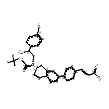 CC(C)(C)OC(=O)N(C[C@@H](O)c1ccc(Cl)cc1)[C@H]1CCc2ccc(-c3ccc(/C=C/C(=O)O)cc3)cc2C1